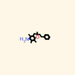 Cc1c(C)c2c(c(C)c1N)CC(C)(CCc1ccccc1)O2